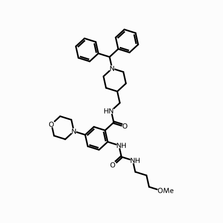 COCCCNC(=O)Nc1ccc(N2CCOCC2)cc1C(=O)NCC1CCN(C(c2ccccc2)c2ccccc2)CC1